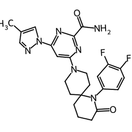 Cc1cnn(-c2cc(N3CCC4(CCCC(=O)N4c4ccc(F)c(F)c4)CC3)nc(C(N)=O)n2)c1